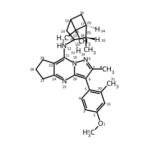 COc1ccc(-c2c(C)nn3c(N[C@H]4CC5C[C@@H]([C@@H]4C)C5(C)C)c4c(nc23)CCC4)c(C)c1